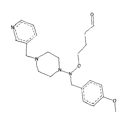 COc1ccc(CN(OCCCC=O)N2CCN(Cc3cccnc3)CC2)cc1